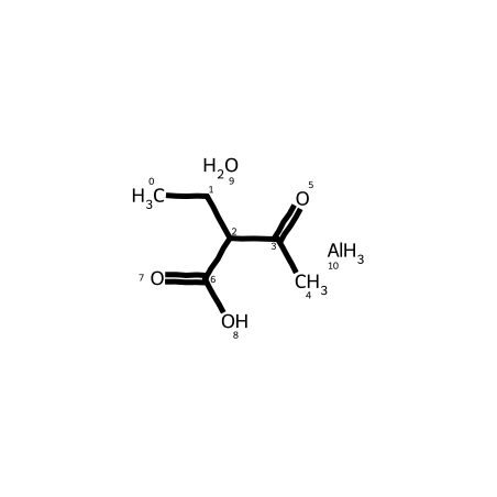 CCC(C(C)=O)C(=O)O.O.[AlH3]